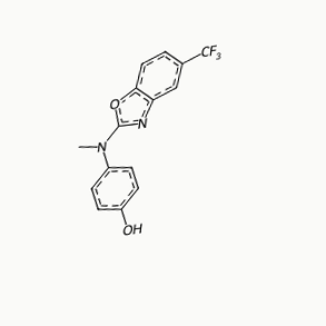 CN(c1ccc(O)cc1)c1nc2cc(C(F)(F)F)ccc2o1